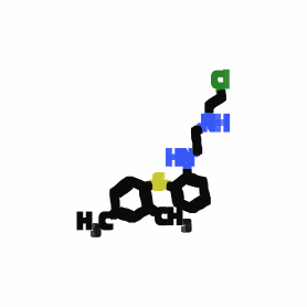 Cc1ccc(Sc2ccccc2NCCNCCCl)c(C)c1